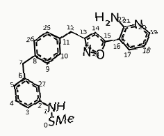 CSNc1cccc(Cc2ccc(Cc3cc(-c4cccnc4N)on3)cc2)c1